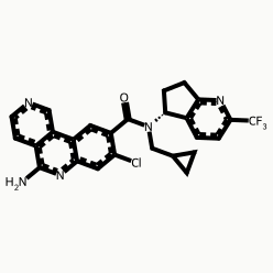 Nc1nc2cc(Cl)c(C(=O)N(CC3CC3)[C@@H]3CCc4nc(C(F)(F)F)ccc43)cc2c2cnccc12